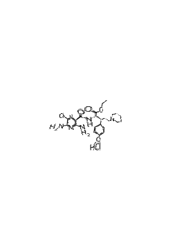 CCOC(=O)C(NC(=O)c1nc(Cl)c(N)nc1N)C(CCN1CCCCC1)c1ccc(OC)cc1.Cl